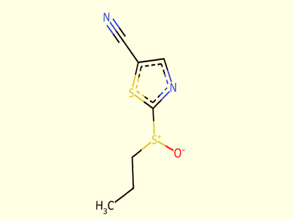 CCC[S+]([O-])c1ncc(C#N)s1